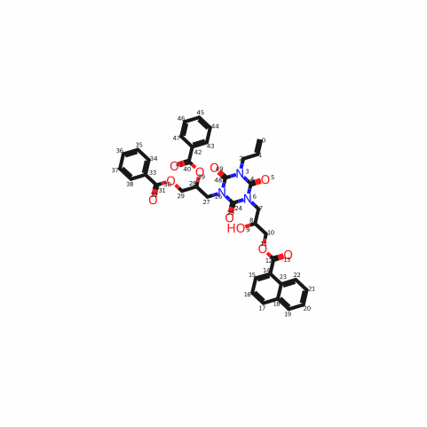 C=CCn1c(=O)n(CC(O)COC(=O)c2cccc3ccccc23)c(=O)n(CC(COC(=O)c2ccccc2)OC(=O)c2ccccc2)c1=O